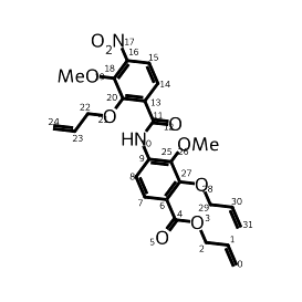 C=CCOC(=O)c1ccc(NC(=O)c2ccc([N+](=O)[O-])c(OC)c2OCC=C)c(OC)c1OCC=C